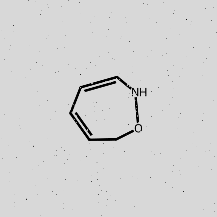 C1=CCONC=C1